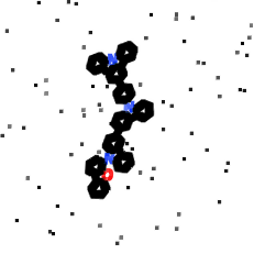 c1ccc2c(c1)oc1c(-n3c4ccccc4c4cc(-c5ccc6c(c5)c5ccccc5n6-c5ccc(-c6cc7c8ccccc8n8c9ccccc9c(c6)c78)cc5)ccc43)cccc12